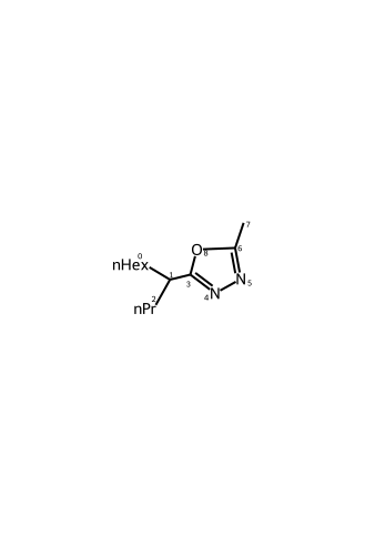 CCCCCCC(CCC)c1nnc(C)o1